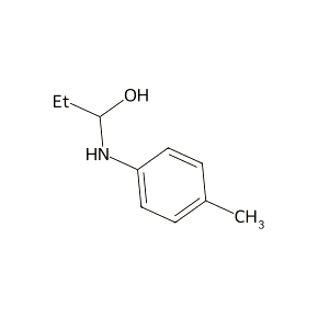 CCC(O)Nc1ccc(C)cc1